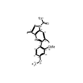 CCC(CC)n1cc(C)c2nc(-c3ccc(OC(F)(F)F)cc3OC)c(C)cc21